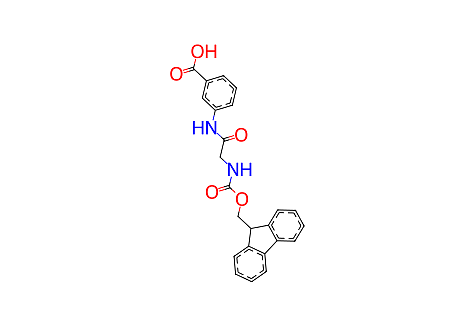 O=C(CNC(=O)OCC1c2ccccc2-c2ccccc21)Nc1cccc(C(=O)O)c1